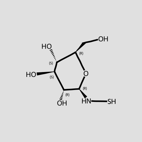 OC[C@H]1O[C@@H](NS)[C@H](O)[C@@H](O)[C@@H]1O